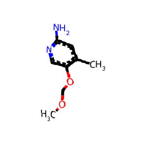 COCOc1cnc(N)cc1C